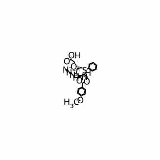 COc1ccc(C2OC[C@@H]3[C@H](O2)[C@@H](N=[N+]=[N-])[C@@H](OCC(=O)O)C[SH]3c2ccccc2)cc1